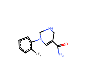 NC(=O)C1=CN(c2ccccc2C(F)(F)F)CNC1